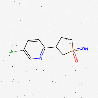 N=S1(=O)CCC(c2ccc(Br)cn2)C1